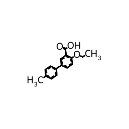 CCOc1ccc(-c2ccc(C)cc2)cc1C(=O)O